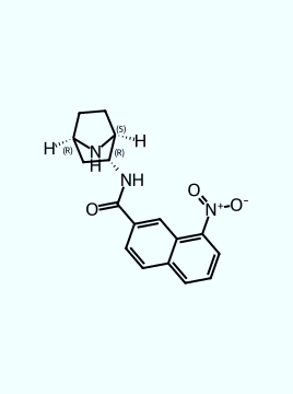 O=C(N[C@@H]1C[C@H]2CC[C@@H]1N2)c1ccc2cccc([N+](=O)[O-])c2c1